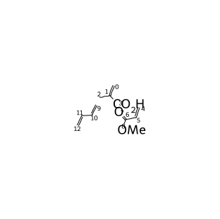 C=C(C)C(=O)O.C=CC(=O)OC.C=CC=C